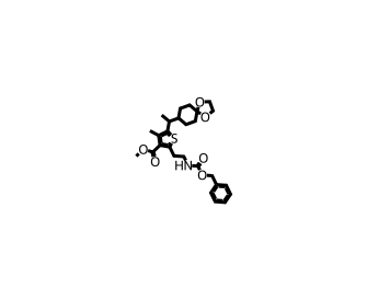 COC(=O)c1c(CCNC(=O)OCc2ccccc2)sc(C(C)C2CCC3(CC2)OCCO3)c1C